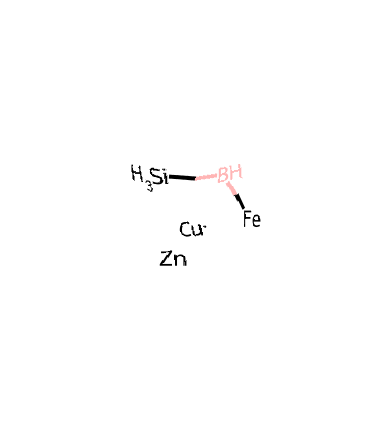 [Cu].[SiH3][BH][Fe].[Zn]